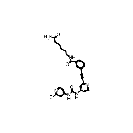 NC(=O)CCCCCNC(=O)c1cccc(C#Cc2cc(NC(=O)Nc3ccnc(Cl)c3)ccn2)c1